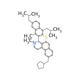 Cc1c2c(c(CC(C)C)c3ccc(CC(C)C)cc13)Sc1cc3ccc(CC4CCCC4)cc3c3cc[n+](C)c-2c13